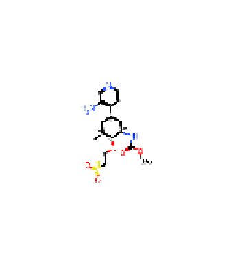 C[C@H]1C[C@@H](c2ccncc2N)C[C@@H](NC(=O)OC(C)(C)C)[C@H]1OCC[SH](=O)=O